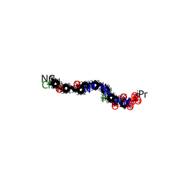 CC(C)OC(=O)OCN1C(=O)CCC(N2Cc3cc(N4CCN(CC5CCN(c6ccc7c(n6)CCC(CCC6CCC(Oc8ccc(C#N)c(Cl)c8)CC6)C7=O)CC5)CC4)c(F)cc3C2=O)C1=O